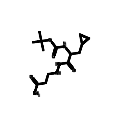 CC(C)(C)OC(=O)NC(CC1CC1)C(=O)NNCCC(N)=O